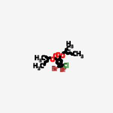 CCCCC(CC)COC(=O)c1ccccc1C(=O)OCC(CC)CCCC.ClCC(Br)CBr